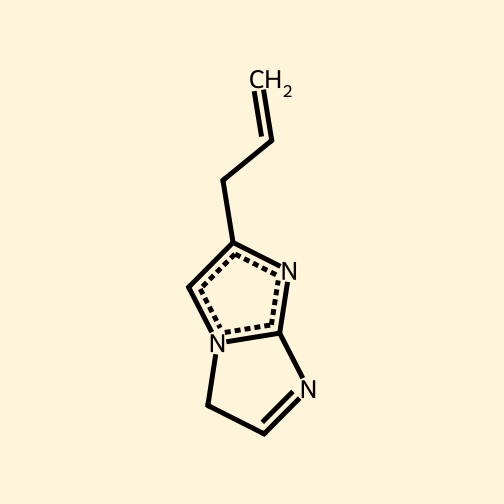 C=CCc1cn2c(n1)N=CC2